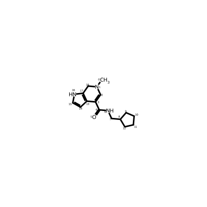 CN1C=C(C(=O)NCC2CCCC2)c2cc[nH]c2C1